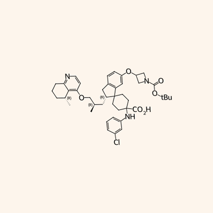 C[C@@H](COc1ccnc2c1[C@H](C)CCC2)C[C@@H]1Cc2ccc(OC3CN(C(=O)OC(C)(C)C)C3)cc2C12CCC(Nc1cccc(Cl)c1)(C(=O)O)CC2